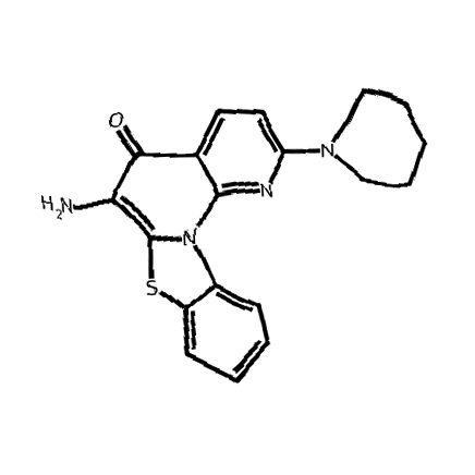 Nc1c(=O)c2ccc(N3CCCCC3)nc2n2c1sc1ccccc12